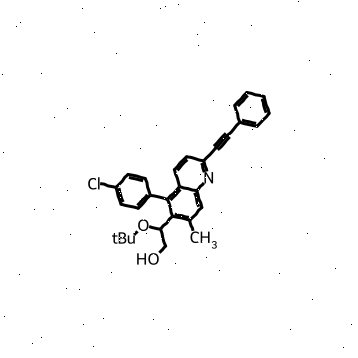 Cc1cc2nc(C#Cc3ccccc3)ccc2c(-c2ccc(Cl)cc2)c1C(CO)OC(C)(C)C